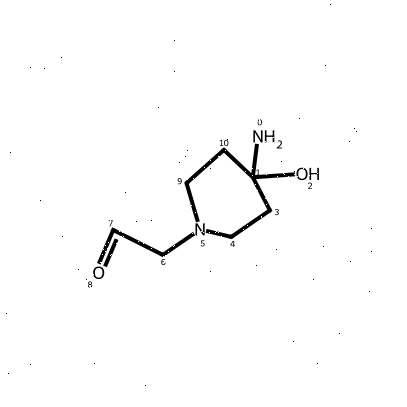 NC1(O)CCN(CC=O)CC1